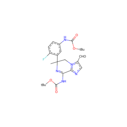 CC(C)(C)OC(=O)NC1=NC(C)(c2cc(NC(=O)OC(C)(C)C)ccc2F)Cn2c(C=O)cnc21